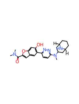 CN(C)C(=O)c1cc2cc(-c3ccc(N(C)C4C[C@H]5CCC[C@@H](C4)N5)nn3)c(O)cc2o1